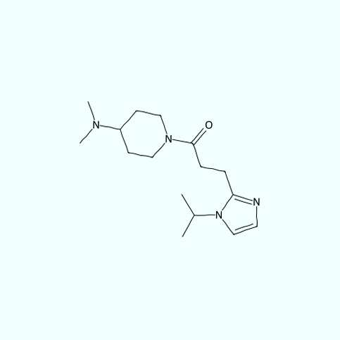 CC(C)n1ccnc1CCC(=O)N1CCC(N(C)C)CC1